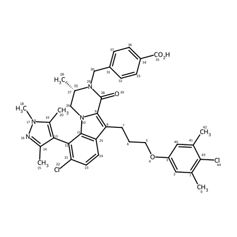 Cc1cc(OCCCc2c3n(c4c(-c5c(C)nn(C)c5C)c(Cl)ccc24)C[C@H](C)N(Cc2ccc(C(=O)O)cc2)C3=O)cc(C)c1Cl